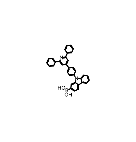 OB(O)c1ccc2c3ccccc3n(-c3ccc(-c4cc(-c5ccccc5)nc(-c5ccccc5)c4)cc3)c2c1